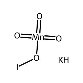 [KH].[O]=[Mn](=[O])(=[O])[O]I